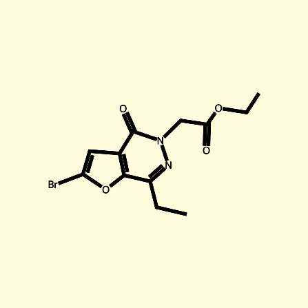 CCOC(=O)Cn1nc(CC)c2oc(Br)cc2c1=O